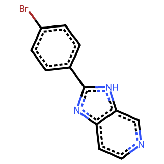 Brc1ccc(-c2nc3ccncc3[nH]2)cc1